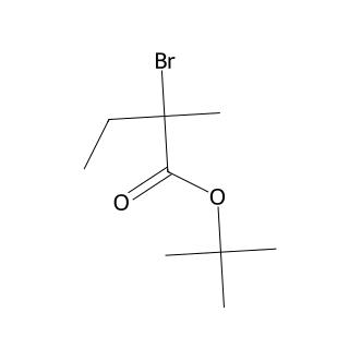 CCC(C)(Br)C(=O)OC(C)(C)C